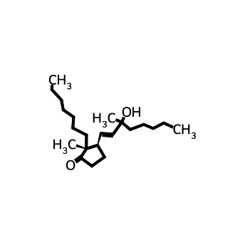 CCCCCCC[C@@]1(C)C(=O)CC[C@@H]1/C=C/C(C)(O)CCCCC